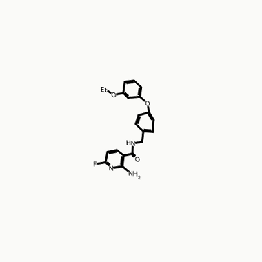 CCOc1cccc(Oc2ccc(CNC(=O)c3ccc(F)nc3N)cc2)c1